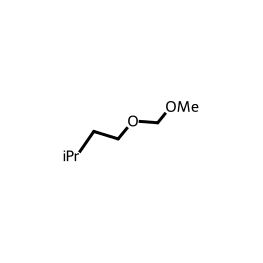 COCOCCC(C)C